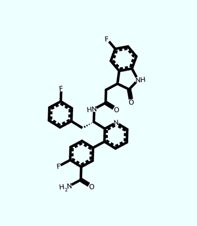 NC(=O)c1cc(-c2cccnc2[C@H](Cc2cccc(F)c2)NC(=O)CC2C(=O)Nc3ccc(F)cc32)ccc1F